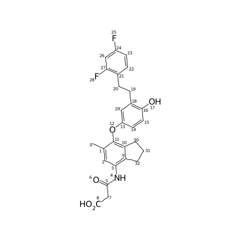 Cc1cc(NC(=O)CC(=O)O)c2c(c1Oc1ccc(O)c(CCc3ccc(F)cc3F)c1)CCC2